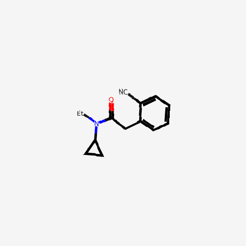 CCN(C(=O)Cc1ccccc1C#N)C1CC1